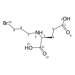 O=C(O)CC[C@H](NCCCBr)C(=O)O